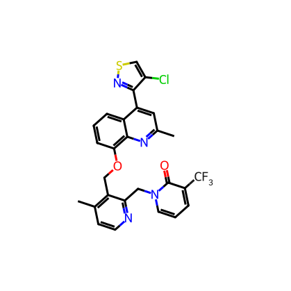 Cc1cc(-c2nscc2Cl)c2cccc(OCc3c(C)ccnc3Cn3cccc(C(F)(F)F)c3=O)c2n1